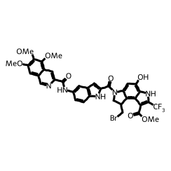 COC(=O)c1c(C(F)(F)F)[nH]c2c(O)cc3c(c12)C(CBr)CN3C(=O)c1cc2cc(NC(=O)c3cc4c(OC)c(OC)c(OC)cc4cn3)ccc2[nH]1